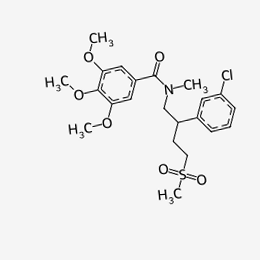 COc1cc(C(=O)N(C)CC(CCS(C)(=O)=O)c2cccc(Cl)c2)cc(OC)c1OC